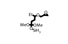 CCC(CCC(OC)(OC)O[SiH3])OCC1CO1